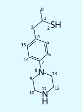 CC(S)Cc1ccc(N2CCNCC2)cc1